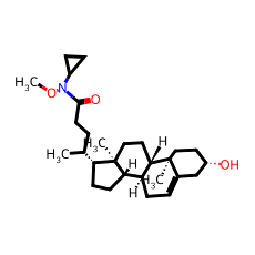 CON(C(=O)CCC(C)[C@H]1CC[C@H]2[C@@H]3CC=C4C[C@@H](O)CC[C@]4(C)[C@H]3CC[C@]12C)C1CC1